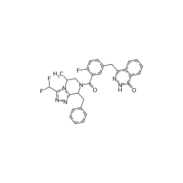 CC1CN(C(=O)c2cc(Cc3n[nH]c(=O)c4ccccc34)ccc2F)C(Cc2ccccc2)c2nnc(C(F)F)n21